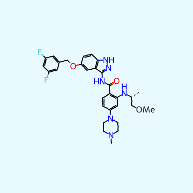 COC[C@@H](C)Nc1cc(N2CCN(C)CC2)ccc1C(=O)Nc1n[nH]c2ccc(OCc3cc(F)cc(F)c3)cc12